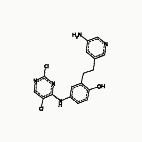 Nc1cncc(CCc2cc(Nc3nc(Cl)ncc3Cl)ccc2O)c1